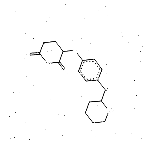 O=C1CCC(Oc2ccc(CC3CCCCN3)cc2)C(=O)N1